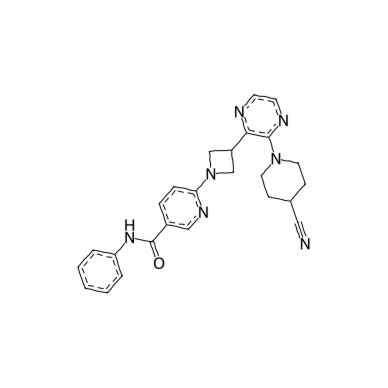 N#CC1CCN(c2nccnc2C2CN(c3ccc(C(=O)Nc4ccccc4)cn3)C2)CC1